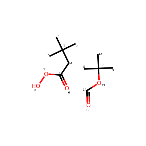 CC(C)(C)CC(=O)OO.CC(C)(C)OC=O